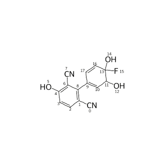 N#Cc1ccc(O)c(C#N)c1C1=CC(O)C(O)(F)C=C1